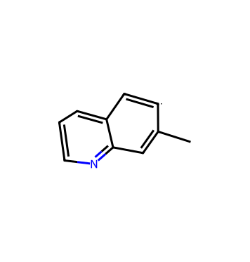 Cc1[c]cc2cccnc2c1